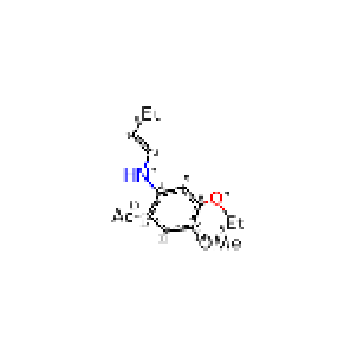 CCC=CNc1cc(OCC)c(OC)cc1C(C)=O